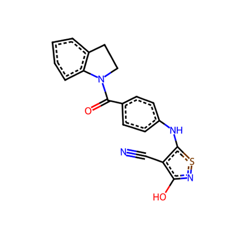 N#Cc1c(O)nsc1Nc1ccc(C(=O)N2CCc3ccccc32)cc1